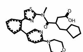 CN(C(=O)C(CC(=O)O)CC1CCCC1)c1nc(-c2ccccc2-c2ccc(N3CCOCC3)nc2)cs1